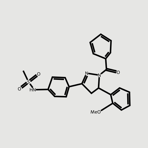 COc1ccccc1C1CC(c2ccc(NS(C)(=O)=O)cc2)=NN1C(=O)c1ccccc1